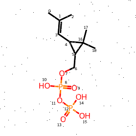 CC(C)=CC1C(COP(=O)(O)OP(=O)(O)O)C1(C)C